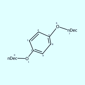 CCCCCCCCCCOc1[c]cc(OCCCCCCCCCC)[c]c1